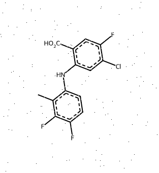 Cc1c(Nc2cc(Cl)c(F)cc2C(=O)O)ccc(F)c1F